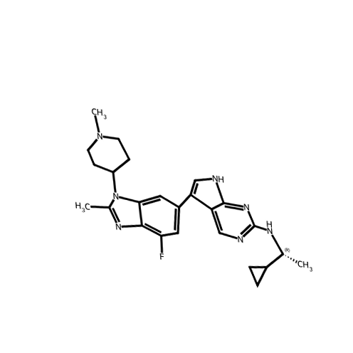 Cc1nc2c(F)cc(-c3c[nH]c4nc(N[C@H](C)C5CC5)ncc34)cc2n1C1CCN(C)CC1